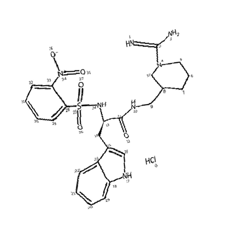 Cl.N=C(N)N1CCCC(CNC(=O)[C@@H](Cc2c[nH]c3ccccc23)NS(=O)(=O)c2ccccc2[N+](=O)[O-])C1